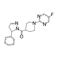 O=C(C1CCN(c2ncc(F)cn2)CC1)N1N=CCC1c1ccccc1